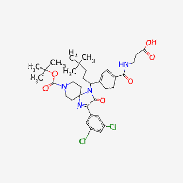 CC(C)(C)CCC(C1=CC=C(C(=O)NCCC(=O)O)CC1)N1C(=O)C(c2cc(Cl)cc(Cl)c2)=NC12CCN(C(=O)OC(C)(C)C)CC2